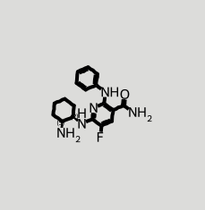 NC(=O)c1cc(F)c(N[C@@H]2CCCC[C@@H]2N)nc1Nc1ccccc1